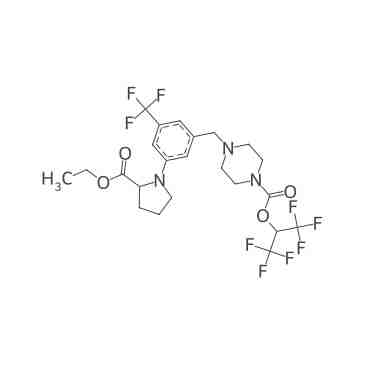 CCOC(=O)C1CCCN1c1cc(CN2CCN(C(=O)OC(C(F)(F)F)C(F)(F)F)CC2)cc(C(F)(F)F)c1